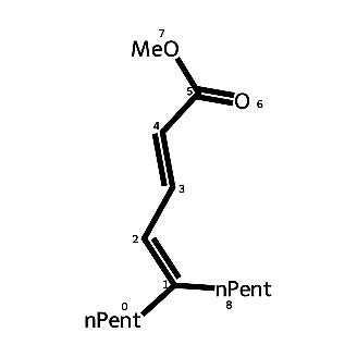 CCCCCC(=CC=CC(=O)OC)CCCCC